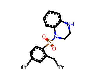 CC(C)Cc1cc(C(C)C)ccc1S(=O)(=O)N1CCNc2ccccc21